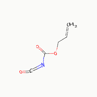 C=CCOC(=O)N=C=O